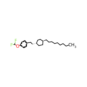 CCCCCCCCC[C@H]1CC[C@H](CCc2ccc(OC(F)F)cc2)CC1